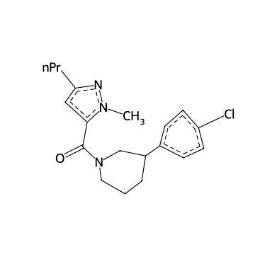 CCCc1cc(C(=O)N2CCCC(c3ccc(Cl)cc3)C2)n(C)n1